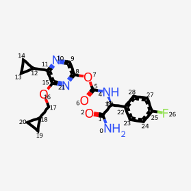 NC(=O)[C@@H](NC(=O)Oc1cnc(C2CC2)c(OCC2CC2)n1)c1ccc(F)cc1